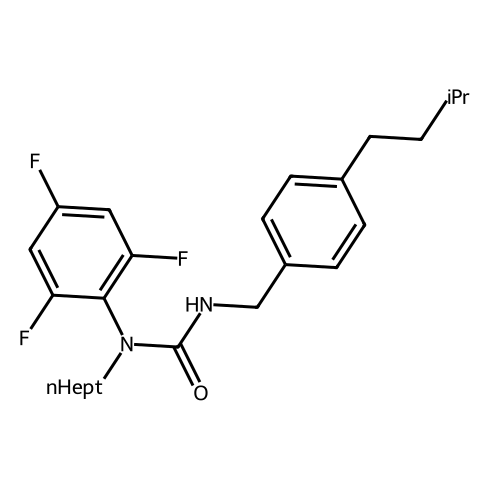 CCCCCCCN(C(=O)NCc1ccc(CCC(C)C)cc1)c1c(F)cc(F)cc1F